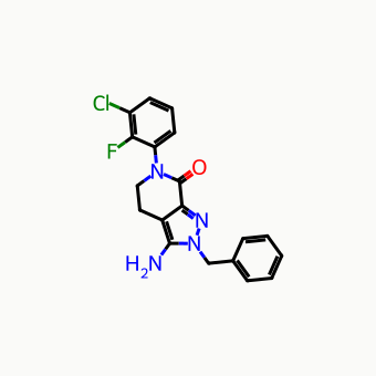 Nc1c2c(nn1Cc1ccccc1)C(=O)N(c1cccc(Cl)c1F)CC2